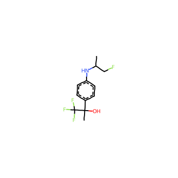 CC(CF)Nc1ccc(C(C)(O)C(F)(F)F)cc1